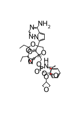 CCC(=O)O[C@H]1C(OC(=O)CC)(c2ccc3c(N)ncnn23)CO[C@]1(C#N)COP(=O)(N[C@@H](C)C(=O)OC1COC1)Oc1ccccc1